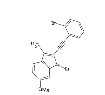 CCn1c(C#Cc2ccccc2Br)c(N)c2ccc(OC)cc21